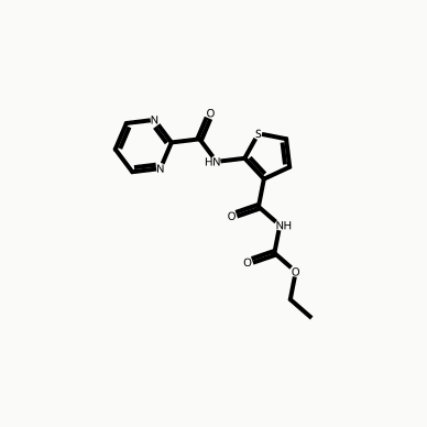 CCOC(=O)NC(=O)c1ccsc1NC(=O)c1ncccn1